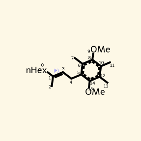 CCCCCC/C(C)=C/Cc1c(C)c(OC)c(C)c(C)c1OC